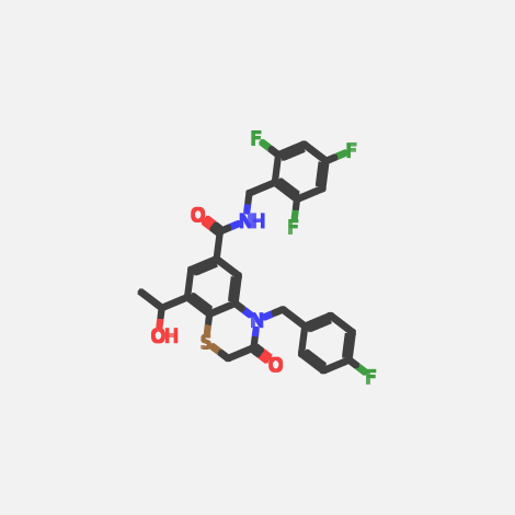 CC(O)c1cc(C(=O)NCc2c(F)cc(F)cc2F)cc2c1SCC(=O)N2Cc1ccc(F)cc1